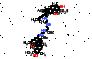 CC(=O)OC(CCNCCNCC(CCC=C(C)C)=C1[C@@H](OC(C)=O)C[C@@]2(C)[C@@H]1C[C@@H](O)C1[C@@]3(C)CC(C(=O)O)[C@@H](O)[C@@H](C)C3CC[C@@]12C)NCCNCC(CCC=C(C)C)=C1[C@@H](OC(C)=O)C[C@@]2(C)[C@@H]1C[C@@H](O)C1[C@@]3(C)CC(C(=O)O)[C@@H](O)[C@@H](C)C3CC[C@@]12C